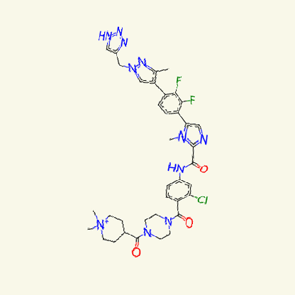 Cc1nn(Cc2c[nH]nn2)cc1-c1ccc(-c2cnc(C(=O)Nc3ccc(C(=O)N4CCN(C(=O)C5CC[N+](C)(C)CC5)CC4)c(Cl)c3)n2C)c(F)c1F